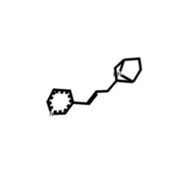 C(=C\c1cccnc1)/CC1CC2CCC1N2